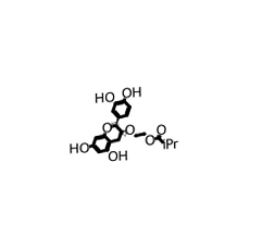 CC(C)C(=O)OCCO[C@@H]1Cc2c(O)cc(O)cc2O[C@H]1c1ccc(O)c(O)c1